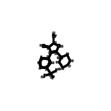 O=C1C(c2cccc(C(F)(F)F)c2)=C(N2CCCCC2)OC1Br